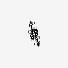 C=CC(=O)OCCNC(=O)Oc1ccc2ccccc2c1-c1c(OC(=O)NCCOC(=O)C=C)ccc2ccccc12